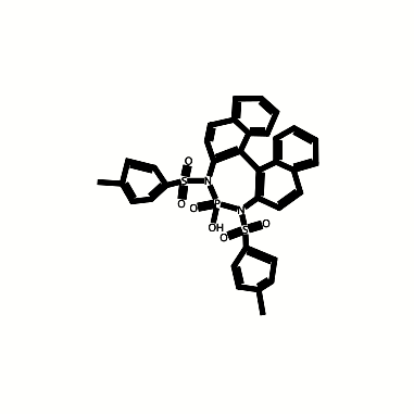 Cc1ccc(S(=O)(=O)N2c3ccc4ccccc4c3-c3c(ccc4ccccc34)N(S(=O)(=O)c3ccc(C)cc3)P2(=O)O)cc1